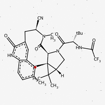 Cc1ccc2[nH]c(=O)c(C[C@@H](C#N)N(C)C(=O)[C@@H]3[C@@H]4[C@H](CN3C(=O)[C@@H](NC(=O)C(F)(F)F)C(C)(C)C)C4(C)C)cc2c1